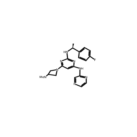 CNC1CN(c2cc(Nc3cnccn3)nc(N[C@@H](C)c3ccc(F)cc3)n2)C1